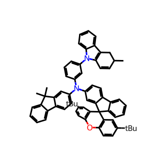 CC1C=Cc2c(c3ccccc3n2-c2cccc(N(c3ccc4c(c3)C(C)(C)c3ccccc3-4)c3ccc4c(c3)C3(c5cc(C(C)(C)C)ccc5Oc5ccc(C(C)(C)C)cc53)c3ccccc3-4)c2)C1